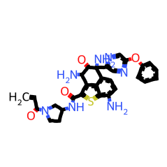 C=CC(=O)N1CCC(NC(=O)c2sc3c(N)ccc4c3c2C(N)C(=O)C4(N)c2cnc(Oc3ccccc3)cn2)C1